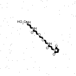 O=C(O)NCCCNC(=O)CCOCCOCCNC(=O)CCN1C(=O)C=CC1=O